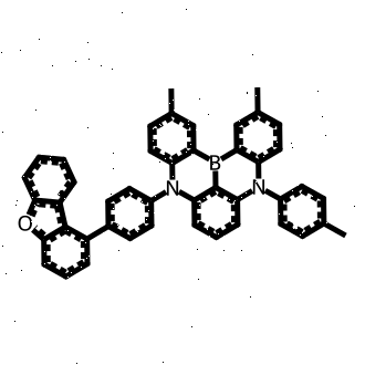 Cc1ccc(N2c3ccc(C)cc3B3c4cc(C)ccc4N(c4ccc(-c5cccc6oc7ccccc7c56)cc4)c4cccc2c43)cc1